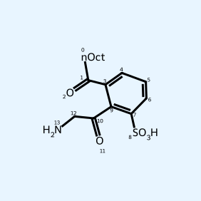 CCCCCCCCC(=O)c1cccc(S(=O)(=O)O)c1C(=O)CN